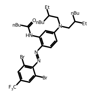 CCCCC(=O)Nc1cc(N(CC(CC)CCCC)CC(CC)CCCC)ccc1N=Nc1c(Br)cc(C(F)(F)F)cc1Br